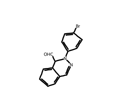 O=CC1c2ccccc2C=NN1c1ccc(Br)cc1